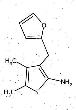 Cc1sc(N)c(Cc2ccco2)c1C